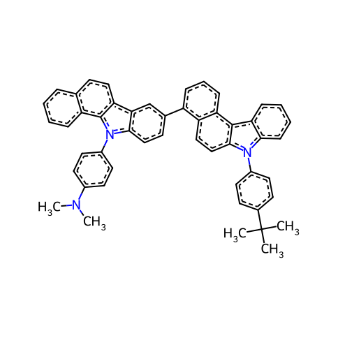 CN(C)c1ccc(-n2c3ccc(-c4cccc5c4ccc4c5c5ccccc5n4-c4ccc(C(C)(C)C)cc4)cc3c3ccc4ccccc4c32)cc1